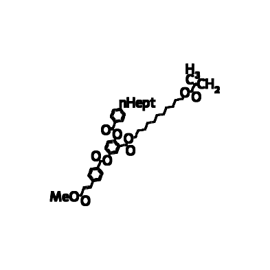 C=C(C)C(=O)OCCCCCCCCCCCOC(=O)c1cc(OC(=O)c2ccc(C=CC(=O)OC)cc2)ccc1OC(=O)c1ccc(CCCCCCC)cc1